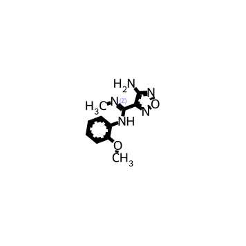 C/N=C(\Nc1ccccc1OC)c1nonc1N